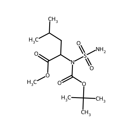 COC(=O)C(CC(C)C)N(C(=O)OC(C)(C)C)S(N)(=O)=O